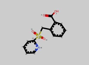 O=C(O)c1ccccc1CS(=O)(=O)c1ccccn1